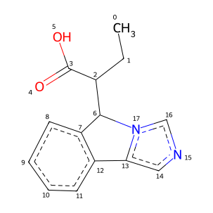 CCC(C(=O)O)C1c2ccccc2-c2cncn21